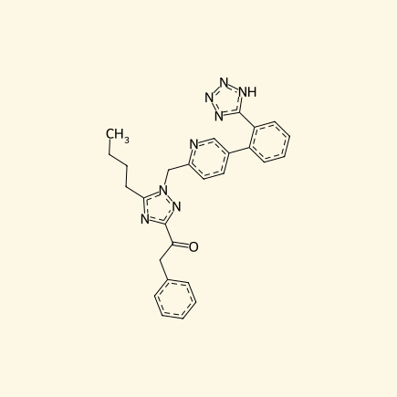 CCCCc1nc(C(=O)Cc2ccccc2)nn1Cc1ccc(-c2ccccc2-c2nnn[nH]2)cn1